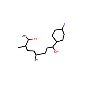 CC(C)C(O)C(C)CC[C@@H](CCC(O)C1CCC(I)CC1)C(C)C